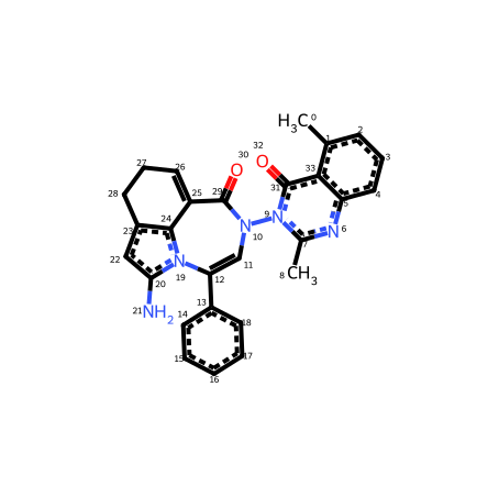 Cc1cccc2nc(C)n(N3C=C(c4ccccc4)n4c(N)cc5c4C(=CCC5)C3=O)c(=O)c12